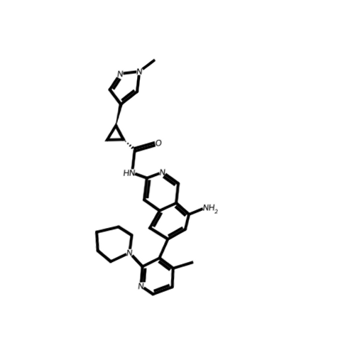 Cc1ccnc(N2CCCCC2)c1-c1cc(N)c2cnc(NC(=O)[C@@H]3C[C@H]3c3cnn(C)c3)cc2c1